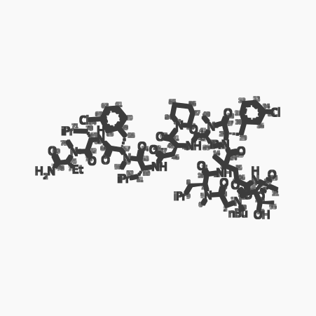 CCCCN(CC(=O)N(C)[C@@H](CC(C)C)C(=O)NC(C)(CCC(=O)NS(C)(=O)=O)C(=O)N(C)[C@@H](Cc1cccc(Cl)c1)C(=O)N(C)[C@H](C(=O)N[C@@H](CC(=O)N[C@H](CC(C)C)C(=O)N(C)[C@@H](Cc1cccc(Cl)c1)C(=O)N[C@@H](CC(C)C)C(=O)N(C)[C@@H](CC)C(N)=O)C(=O)N1CCCCC1)C(C)C)C(=O)[C@@H](C)[C@@H](C)O